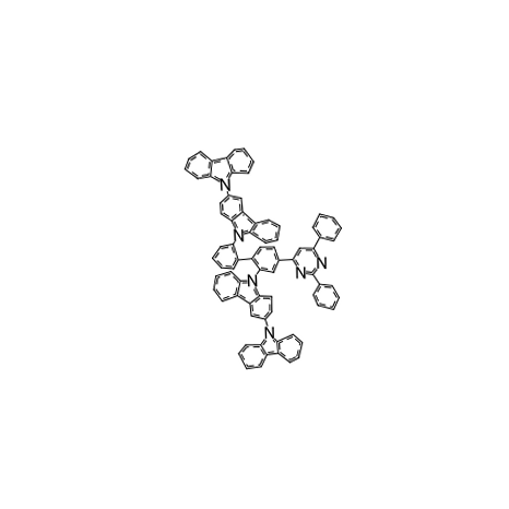 c1ccc(-c2cc(-c3ccc(-c4ccccc4-n4c5ccccc5c5cc(-n6c7ccccc7c7ccccc76)ccc54)c(-n4c5ccccc5c5cc(-n6c7ccccc7c7ccccc76)ccc54)c3)nc(-c3ccccc3)n2)cc1